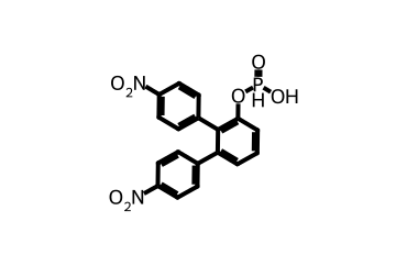 O=[N+]([O-])c1ccc(-c2cccc(O[PH](=O)O)c2-c2ccc([N+](=O)[O-])cc2)cc1